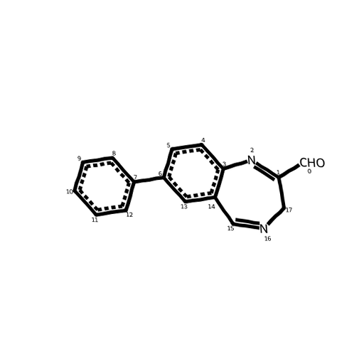 O=CC1=Nc2ccc(-c3ccccc3)cc2C=NC1